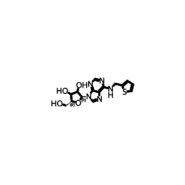 OC[C@H]1O[C@@H](n2cnc3c(NCc4cccs4)ncnc32)C(O)C1O